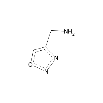 NCc1conn1